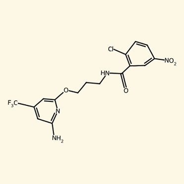 Nc1cc(C(F)(F)F)cc(OCCCNC(=O)c2cc([N+](=O)[O-])ccc2Cl)n1